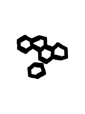 C1=CCCC=C1.C1=c2ccc3c(c2CCC1)CC=c1ccccc1=3